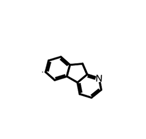 [c]1ccc2c(c1)-c1cccnc1C2